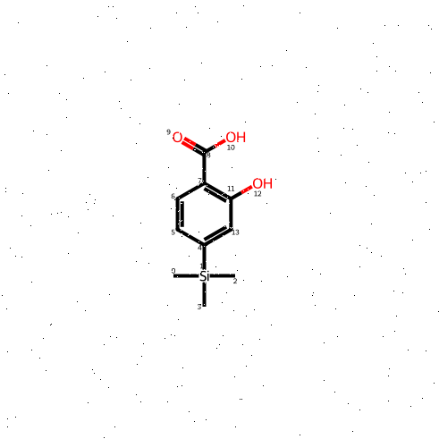 C[Si](C)(C)c1ccc(C(=O)O)c(O)c1